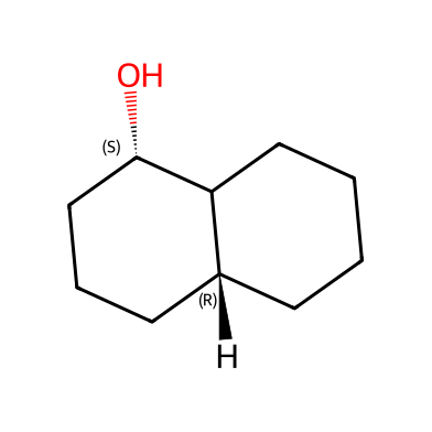 O[C@H]1CCC[C@H]2CCCCC21